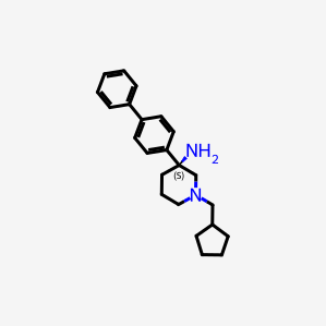 N[C@]1(c2ccc(-c3ccccc3)cc2)CCCN(CC2CCCC2)C1